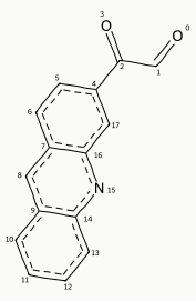 O=CC(=O)c1ccc2cc3ccccc3nc2c1